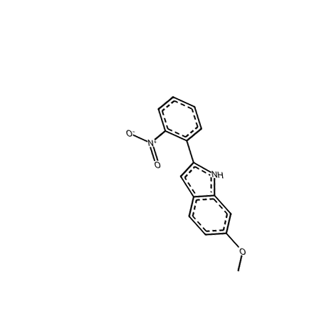 COc1ccc2cc(-c3ccccc3[N+](=O)[O-])[nH]c2c1